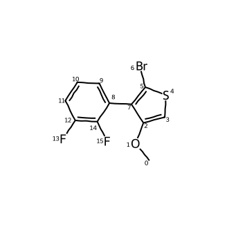 COc1csc(Br)c1-c1cccc(F)c1F